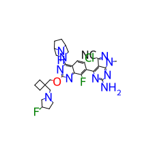 Cn1nc(C#N)c2c(-c3c(Cl)cc4c(N5CC6CCC(C5)N6)nc(OCC5(CN6CC[C@@H](F)C6)CCC5)nc4c3F)nc(N)nc21